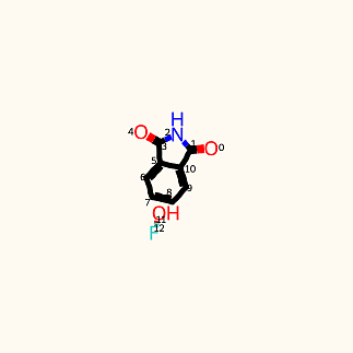 O=C1NC(=O)c2ccccc21.OF